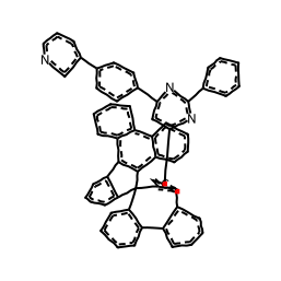 c1ccc(-c2nc(-c3ccc(-c4cccnc4)cc3)cc(-c3ccc4c(c3)C3(c5ccccc5-c5ccccc5-4)c4ccccc4-c4c3c3ccccc3c3ccccc43)n2)cc1